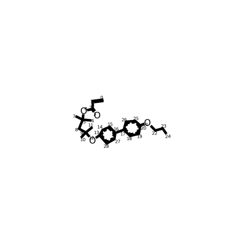 C=CC(=O)OC(C)(C)CC(C)(C)Oc1ccc(-c2ccc(OCCC)cc2)cc1